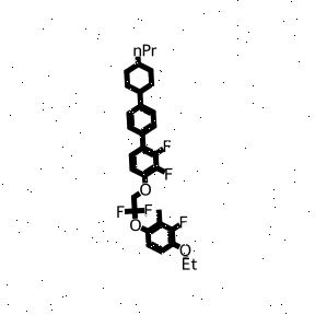 CCCC1CCC(c2ccc(-c3ccc(OCC(F)(F)Oc4ccc(OCC)c(F)c4C)c(F)c3F)cc2)CC1